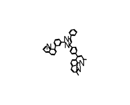 Cc1ccc2ccc3c(-c4ccc(-c5cc(-c6ccccc6)nc(-c6cccc(-c7cccc8cccnc78)c6)n5)cc4)cc(C)nc3c2n1